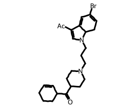 CC(=O)C1=CN(CCCN2CCC(C(=O)C3C=CCCC3)CC2)C2CC=C(Br)C=C12